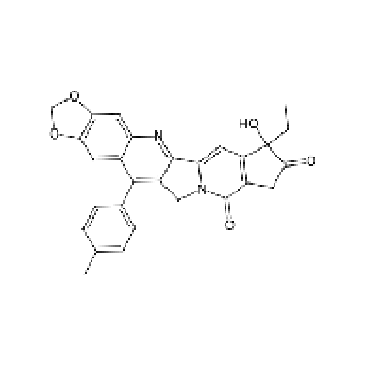 CCC1(O)C(=O)Cc2c1cc1n(c2=O)Cc2c-1nc1cc3c(cc1c2-c1ccc(C)cc1)OCO3